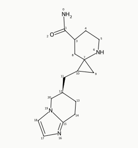 NC(=O)C1CCNC2(C1)CC2C[C@H]1CCc2nccn2C1